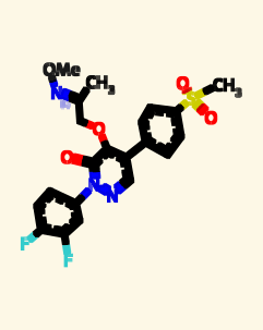 CO/N=C(\C)COc1c(-c2ccc(S(C)(=O)=O)cc2)cnn(-c2ccc(F)c(F)c2)c1=O